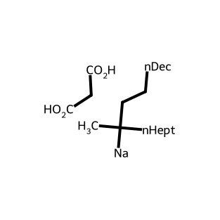 CCCCCCCCCCCC[C](C)([Na])CCCCCCC.O=C(O)CC(=O)O